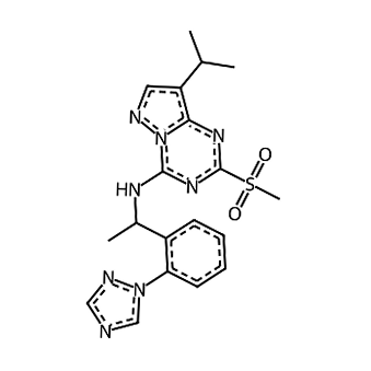 CC(C)c1cnn2c(NC(C)c3ccccc3-n3cncn3)nc(S(C)(=O)=O)nc12